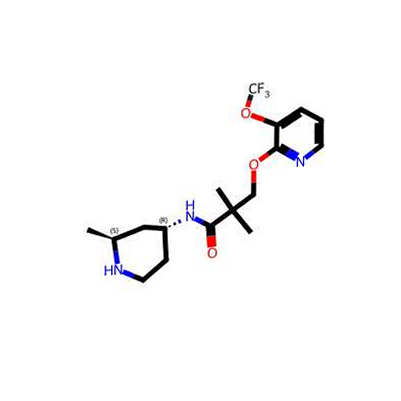 C[C@H]1C[C@H](NC(=O)C(C)(C)COc2ncccc2OC(F)(F)F)CCN1